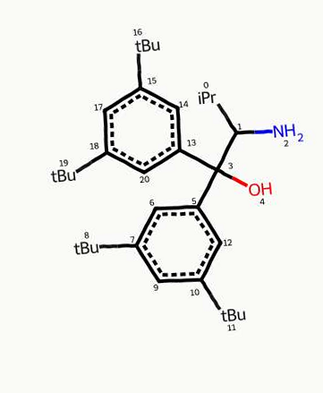 CC(C)C(N)C(O)(c1cc(C(C)(C)C)cc(C(C)(C)C)c1)c1cc(C(C)(C)C)cc(C(C)(C)C)c1